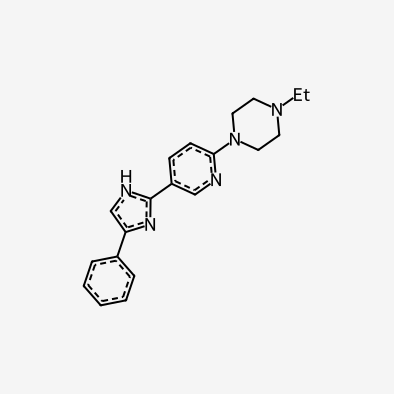 CCN1CCN(c2ccc(-c3nc(-c4ccccc4)c[nH]3)cn2)CC1